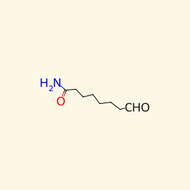 NC(=O)CCCCCCC=O